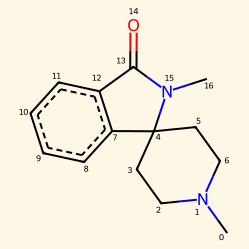 CN1CCC2(CC1)c1ccccc1C(=O)N2C